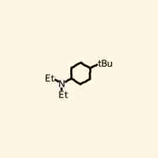 CCN(CC)C1CCC(C(C)(C)C)CC1